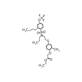 CCCCc1cc(OC(F)(F)F)ccc1S(=O)(=O)N(CCC)CCSc1ccc(OCC(=O)OCC)c(C)c1